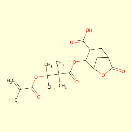 C=C(C)C(=O)OC(C)(C)C(C)(C)C(=O)OC1C2CC(CC1C(=O)O)C(=O)O2